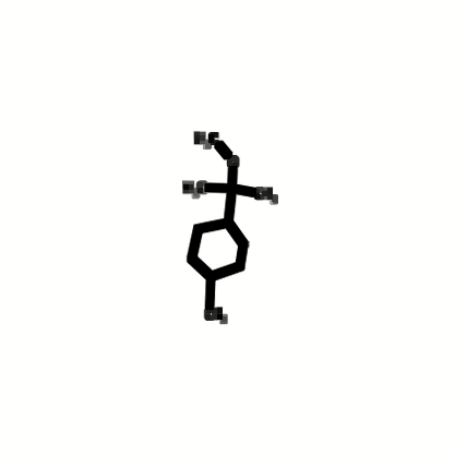 COC(C)(C)C1[CH]CC(C)CC1